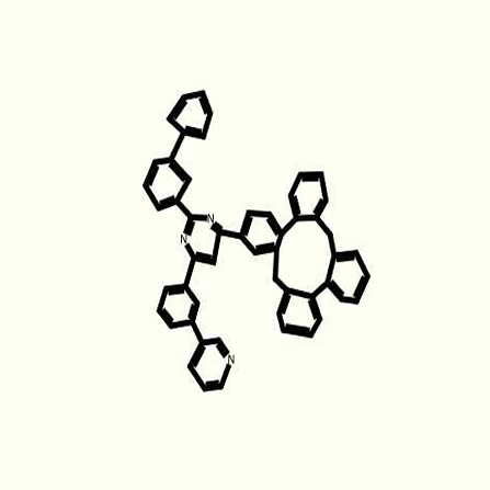 c1ccc(-c2cccc(-c3nc(-c4cccc(-c5cccnc5)c4)cc(-c4ccc5c(c4)Cc4ccccc4-c4ccccc4Cc4ccccc4-5)n3)c2)cc1